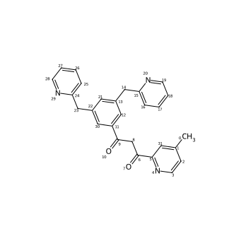 Cc1ccnc(C(=O)CC(=O)c2cc(Cc3ccccn3)cc(Cc3ccccn3)c2)c1